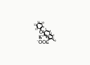 Cc1cc2ccc(Oc3ccccc3)cn2c1C(=O)[O-].[K+]